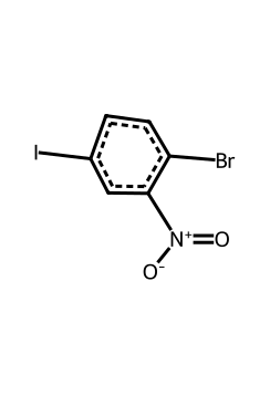 O=[N+]([O-])c1cc(I)ccc1Br